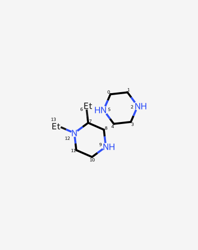 C1CNCCN1.CCC1CNCCN1CC